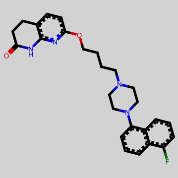 O=C1CCc2ccc(OCCCCN3CCN(c4cccc5c(F)cccc45)CC3)nc2N1